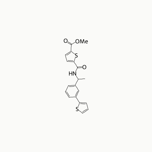 COC(=O)c1ccc(C(=O)NC(C)c2cccc(-c3cccs3)c2)s1